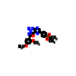 COc1ccc(-c2nnc(-c3nc(-c4ccc(S(=O)(=O)C(C)C)cc4)cnc3N)o2)c(OC)c1